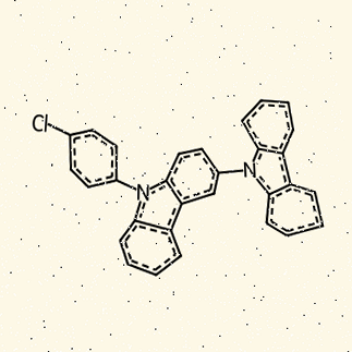 Clc1ccc(-n2c3ccccc3c3cc(-n4c5ccccc5c5ccccc54)ccc32)cc1